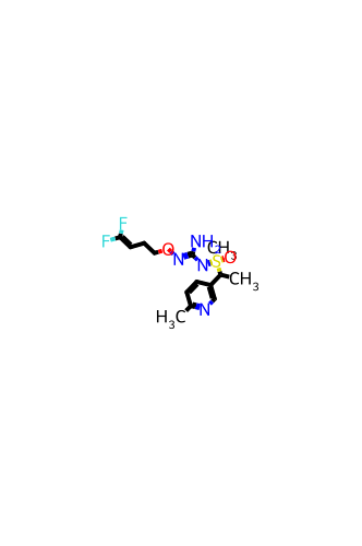 Cc1ccc(C(C)S(C)(=O)=N/C(N)=N/OCCC=C(F)F)cn1